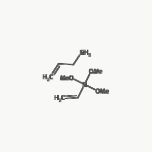 C=CC[SiH3].C=C[Si](OC)(OC)OC